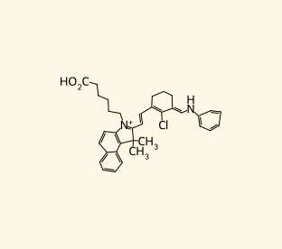 CC1(C)C(/C=C/C2=C(Cl)C(=C/Nc3ccccc3)/CCC2)=[N+](CCCCCC(=O)O)c2ccc3ccccc3c21